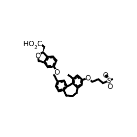 Cc1cc(OCCCS(C)(=O)=O)cc2c1-c1cc(COc3ccc4c(c3)CO[C@H]4CC(=O)O)ccc1CCC2